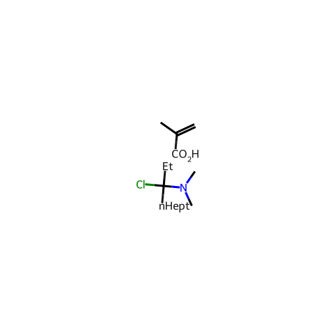 C=C(C)C(=O)O.CCCCCCCC(Cl)(CC)N(C)C